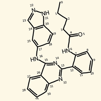 CCCCC(=O)Nc1ccccc1-c1nc(Nc2ccc3[nH]ncc3c2)c2ccccc2n1